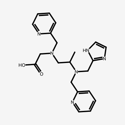 CC(CN(CC(=O)O)Cc1ccccn1)N(Cc1ccccn1)Cc1ncc[nH]1